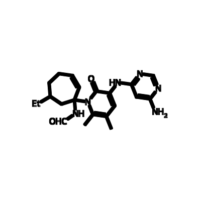 CCC1CCC=CC(NC=O)(n2c(C)c(C)cc(Nc3cc(N)ncn3)c2=O)C1